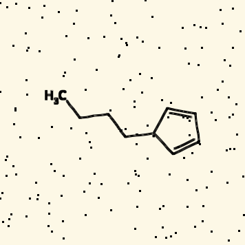 CCCC[C]1C=CC=C1